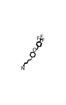 N#CC=CCC[C@H]1CC[C@H](OCc2ccc(C(F)(F)F)cc2)CC1